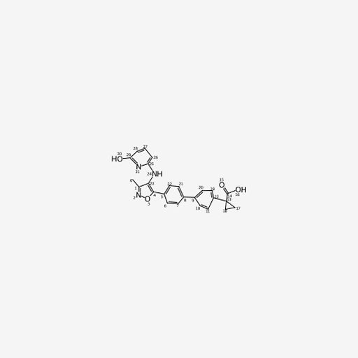 Cc1noc(-c2ccc(-c3ccc(C4(C(=O)O)CC4)cc3)cc2)c1Nc1cccc(O)n1